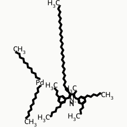 CCCCCCCCCCCCCCCCCCCCCCCCCCCC#CC1=C(c2cc(CCCC)cc(CCCCCC)c2)[N+](=[N-])C(c2cc(CCCC)cc(CCCCCC)c2)=C1CC.CCCCCCCCCCCC[CH2][Pd][CH2]CCCCCCCCCCCC